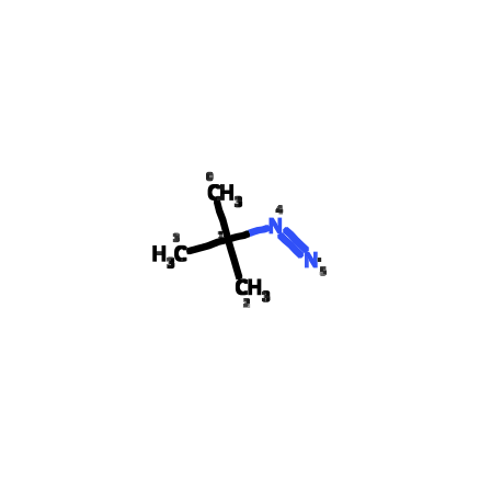 CC(C)(C)N=[N]